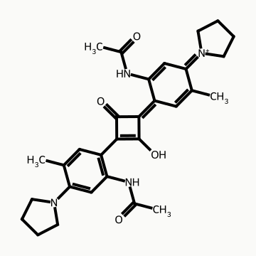 CC(=O)NC1=CC(=[N+]2CCCC2)C(C)=C/C1=C1/C(=O)C(c2cc(C)c(N3CCCC3)cc2NC(C)=O)=C1O